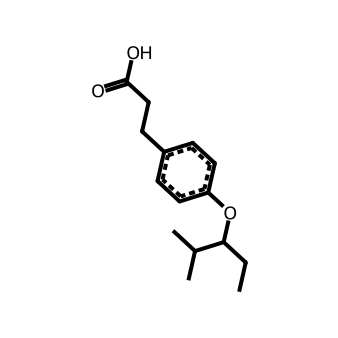 CCC(Oc1ccc(CCC(=O)O)cc1)C(C)C